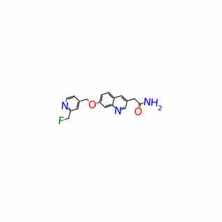 NC(=O)Cc1cnc2cc(OCc3ccnc(CF)c3)ccc2c1